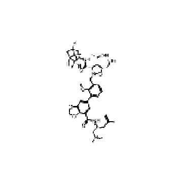 C=C(C)C[C@@H](CN(C)C)NC(=O)c1cc(-c2cccc(CN3O[C@@H](CO)[C@@H]([C@H](C)O)[C@H]3C(=O)NC3C[C@H]4C[C@@H]([C@@H]3C)C4(C)C)c2OC)cc2c1OCO2